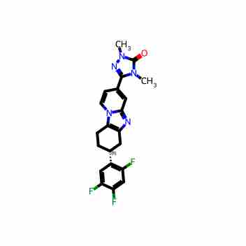 Cn1nc(-c2ccn3c4c(nc3c2)C[C@H](c2cc(F)c(F)cc2F)CC4)n(C)c1=O